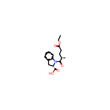 CCOC(=O)CC[C@@H](C)C(=O)N1c2ccccc2C[C@H]1C(=O)O